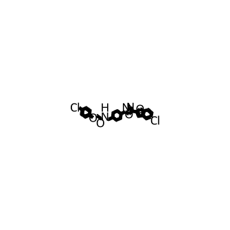 O=C(COc1ccc(Cl)cc1)NCC1CCC(c2nnc(-c3cc4cc(Cl)ccc4o3)o2)CC1